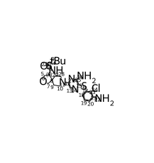 CC(C)(C)[S@@+]([O-])N[C@@H]1COCC12CCN(c1cnc(Sc3cccc(N)c3Cl)c(N)n1)CC2